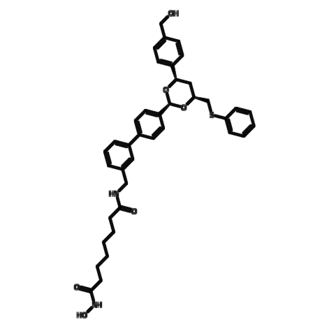 O=C(CCCCCCC(=O)NCc1cccc(-c2ccc([C@@H]3O[C@H](CSc4ccccc4)C[C@H](c4ccc(CO)cc4)O3)cc2)c1)NO